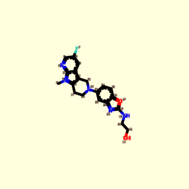 Cn1c2c(c3cc(F)cnc31)CN(c1ccc3oc(NCCO)nc3c1)CC2